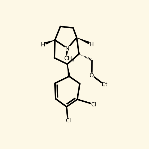 CCOC[C@@H]1[C@@H](C2C=CC(Cl)=C(Cl)C2)C[C@@H]2CC[C@H]1N2C